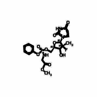 COC(=O)CNP(=O)(OC[C@H]1O[C@@H](n2ccc(=O)[nH]c2=O)[C@](C)(F)C1O)Oc1ccccc1